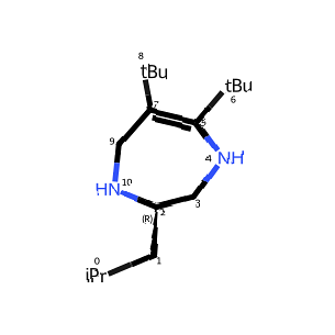 CC(C)C[C@@H]1CNC(C(C)(C)C)=C(C(C)(C)C)CN1